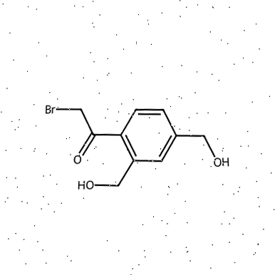 O=C(CBr)c1ccc(CO)cc1CO